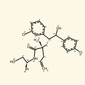 C=CC[C@@](C)(C[C@H](c1cccc(Cl)c1)C(O)c1ccc(Cl)cc1)C(=O)N[C@H](CO)C(C)C